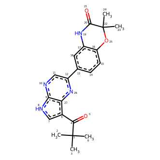 CC(C)(C)C(=O)c1c[nH]c2ncc(-c3ccc4c(c3)NC(=O)C(C)(C)O4)nc12